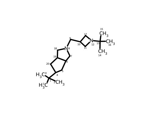 CC(C)(C)C1CC2CN(CC3CN(C(C)(C)C)C3)CC2C1